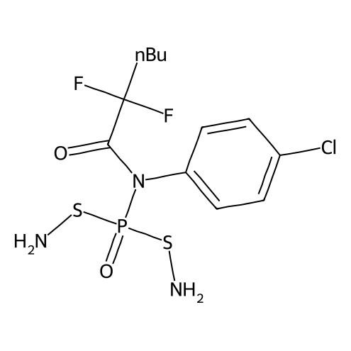 CCCCC(F)(F)C(=O)N(c1ccc(Cl)cc1)P(=O)(SN)SN